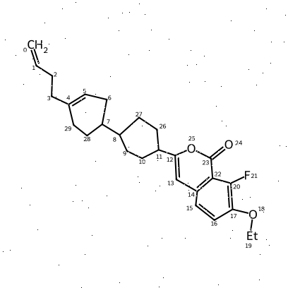 C=CCCC1=CCC(C2CCC(c3cc4ccc(OCC)c(F)c4c(=O)o3)CC2)CC1